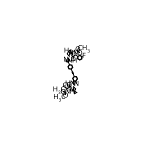 COC(=O)N[C@H](C(=O)N1CC2(CC2)C[C@H]1c1nc2ccc(C#Cc3ccc(-c4cnc([C@@H]5C[C@H]6C[C@H]6N5C(=O)[C@H](NC(=O)OC)c5cccc(F)c5)[nH]4)cc3)cc2[nH]1)C(C)C